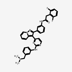 CN(C)Cc1cccc(Nc2nccc(-c3c(-c4cccc(NC(=O)Cc5c(F)cccc5F)c4)nn4ccccc34)n2)c1